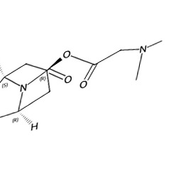 CN(C)CC(=O)O[C@H]1C[C@H]2CC[C@@H](C1)N2C=O